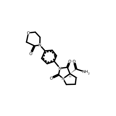 NC(=O)[C@]12[CH]CCN1C(=O)N(c1ccc(N3CCOCC3=O)cc1)C2=O